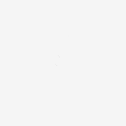 Clc1ccc(/N=C/Nc2ccc(Cl)c(Cl)c2)cc1Cl.[CH3][GaH][CH3]